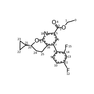 CCOC(=O)c1cc(-c2ccc(F)cc2F)c2c(n1)O[C@H](C1CC1)CC2